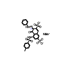 Cc1ccc(S(=O)(=O)Nc2cc(S(=O)(=O)[O-])cc3c2C(=O)/C(=N\Nc2ccccc2)C(S(=O)(=O)[O-])=C3)cc1.[Na+].[Na+]